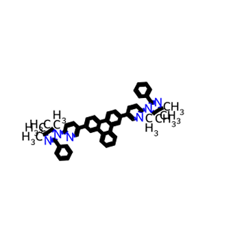 CC1(C)N=C(c2ccccc2)N(c2ccc(-c3ccc4c5ccc(-c6ccc(N7C(c8ccccc8)=NC(C)(C)C7(C)C)nc6)cc5c5ccccc5c4c3)cn2)C1(C)C